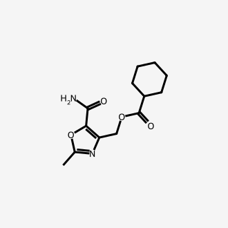 Cc1nc(COC(=O)C2CCCCC2)c(C(N)=O)o1